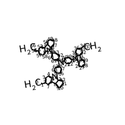 C=Cc1ccc2c(c1)c1ccccc1n2-c1ccc(N(c2ccc(-n3c4ccccc4c4cc(C=C)ccc43)cc2)c2ccc(-n3c4ccccc4c4cc(C=C)ccc43)cc2)cc1